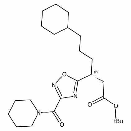 CC(C)(C)OC(=O)C[C@@H](CCCC1CCCCC1)c1nc(C(=O)N2CCCCC2)no1